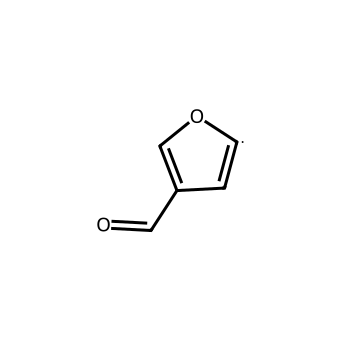 O=Cc1c[c]oc1